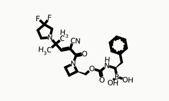 CC(C)(C=C(C#N)C(=O)N1CC[C@@H]1COC(=O)N[C@@H](Cc1ccccc1)B(O)O)N1CCC(F)(F)C1